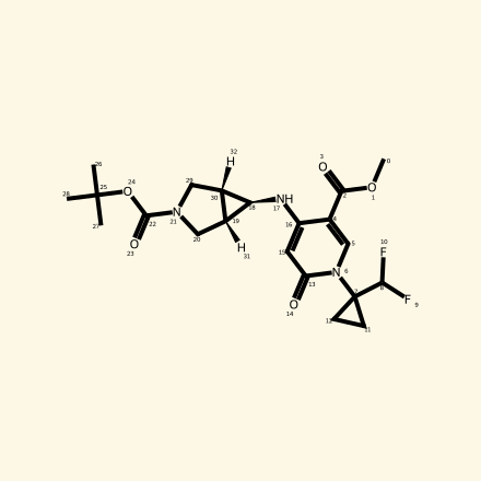 COC(=O)c1cn(C2(C(F)F)CC2)c(=O)cc1N[C@H]1[C@@H]2CN(C(=O)OC(C)(C)C)C[C@@H]21